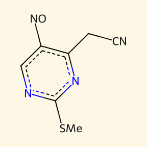 CSc1ncc(N=O)c(CC#N)n1